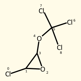 ClC1OC1OC(Cl)(Cl)Cl